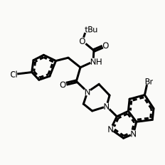 CC(C)(C)OC(=O)NC(Cc1ccc(Cl)cc1)C(=O)N1CCN(c2ncnc3ccc(Br)cc23)CC1